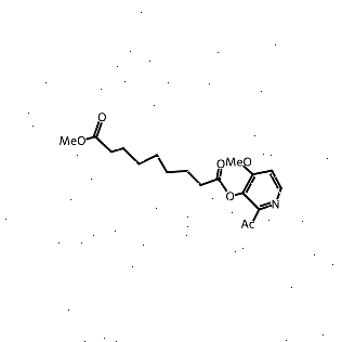 COC(=O)CCCCCCCC(=O)Oc1c(OC)ccnc1C(C)=O